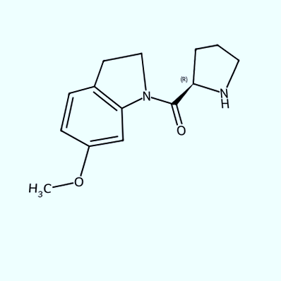 COc1ccc2c(c1)N(C(=O)[C@H]1CCCN1)CC2